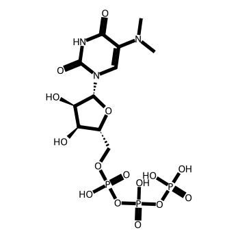 CN(C)c1cn([C@@H]2O[C@H](COP(=O)(O)OP(=O)(O)OP(=O)(O)O)[C@@H](O)[C@H]2O)c(=O)[nH]c1=O